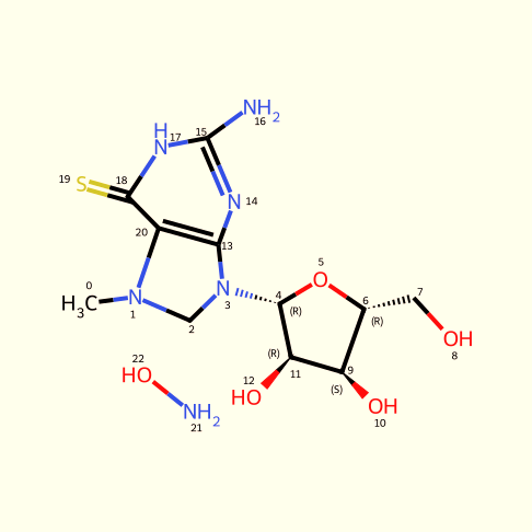 CN1CN([C@@H]2O[C@H](CO)[C@@H](O)[C@H]2O)c2nc(N)[nH]c(=S)c21.NO